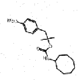 COc1ccc(CC(C)(C)OC(=O)NC2CCCCCCC2)cc1